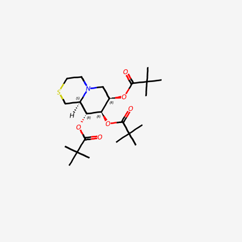 CC(C)(C)C(=O)O[C@H]1[C@H](OC(=O)C(C)(C)C)[C@H](OC(=O)C(C)(C)C)CN2CCSC[C@H]12